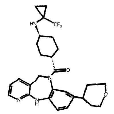 O=C([C@H]1CC[C@H](NC2(C(F)(F)F)CC2)CC1)N1Cc2cccnc2Nc2ccc(C3CCOCC3)cc21